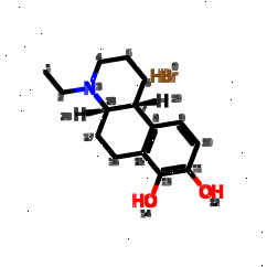 Br.CCN1CCC[C@@H]2c3ccc(O)c(O)c3CC[C@@H]21